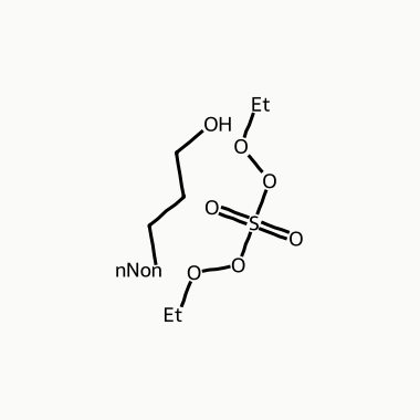 CCCCCCCCCCCCO.CCOOS(=O)(=O)OOCC